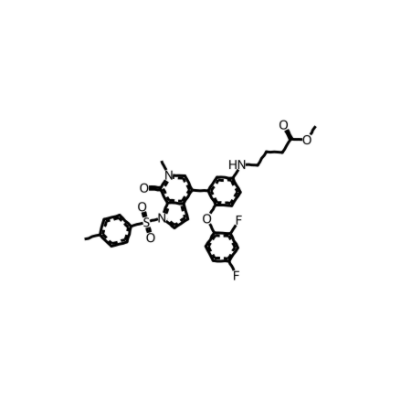 COC(=O)CCCNc1ccc(Oc2ccc(F)cc2F)c(-c2cn(C)c(=O)c3c2ccn3S(=O)(=O)c2ccc(C)cc2)c1